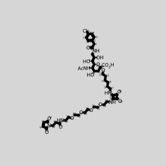 CC(=O)N[C@H]1[C@H]([C@H](O)[C@H](O)CNC(=O)Cc2ccc(Cl)cc2)O[C@@](OCCCCCCNc2c(NCCOCCOCCOCCOCCNC(=O)CCN3C(=O)C=CC3=O)c(=O)c2=O)(C(=O)O)C[C@@H]1O